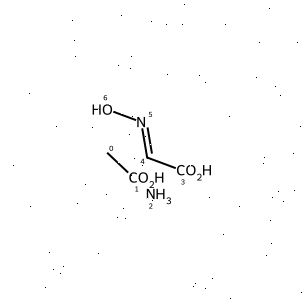 CC(=O)O.N.O=C(O)C=NO